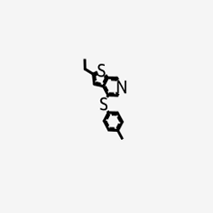 CCc1cc2c(Sc3ccc(C)cc3)cncc2s1